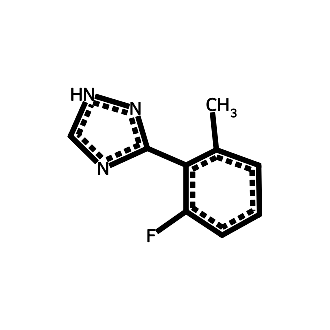 Cc1cccc(F)c1-c1nc[nH]n1